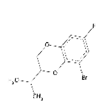 CC(C)C1COc2cc(F)cc(Br)c2O1